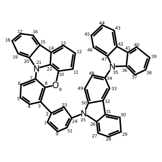 c1cc(-c2cccc3c2Oc2cccc4c5ccccc5n-3c24)cc(-n2c3ccccc3c3cc(-n4c5ccccc5c5ccccc54)ccc32)c1